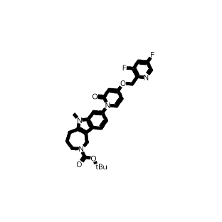 Cn1c2c(c3ccc(-n4ccc(OCc5ncc(F)cc5F)cc4=O)cc31)CN(C(=O)OC(C)(C)C)CCC2